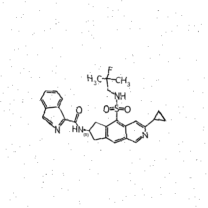 CC(C)(F)CNS(=O)(=O)c1c2c(cc3cnc(C4CC4)cc13)C[C@@H](NC(=O)c1nccc3ccccc13)C2